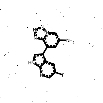 Nc1cc(-c2c[nH]c3ncc(F)cc23)c2nnnn2c1